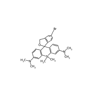 CN(C)c1ccc2c(c1)[Si](C)(C)c1cc(N(C)C)ccc1C21OCc2cc(Br)ccc21